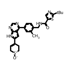 Cc1cc(-c2ncnc3[nH]c(C4=CC[S+]([O-])CC4)cc23)ccc1CNC(=O)c1cnc(C(C)(C)C)s1